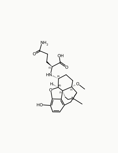 CO[C@@]12CC[C@@H](N[C@@H](CCC(N)=O)C(=O)O)[C@@H]3Oc4c(O)ccc5c4[C@@]31CCN(C)C2C5